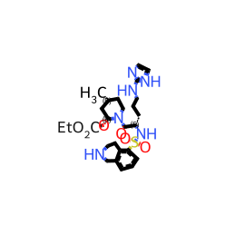 CCOC(=O)O[C@@H]1C[C@H](C)CCN1C(=O)[C@H](CCCNc1ncc[nH]1)NS(=O)(=O)c1cccc2c1CCNC2